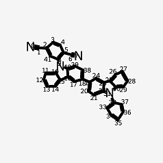 N#Cc1ccc(C#N)c(-n2c3ccccc3c3cc(-c4ccc5c(c4)c4ccccc4n5-c4ccccc4)ccc32)c1